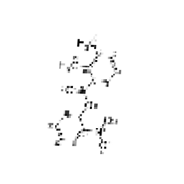 Cc1cccc(C(=O)Oc2ccccc2[N+](=O)[O-])c1C